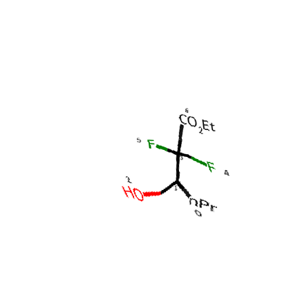 CCCC(O)C(F)(F)C(=O)OCC